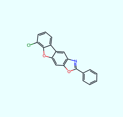 Clc1cccc2c1oc1cc3oc(-c4ccccc4)nc3cc12